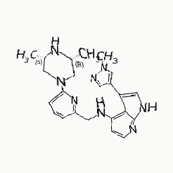 C[C@@H]1CN(c2cccc(CNc3ccnc4[nH]cc(-c5cnn(C)c5)c34)n2)C[C@H](C)N1